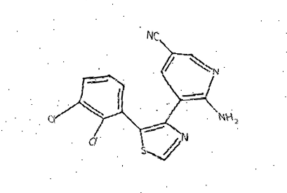 N#Cc1cnc(N)c(-c2ncsc2-c2cccc(Cl)c2Cl)c1